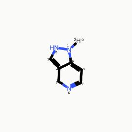 [2H]N1NC=C2CN=CC=C21